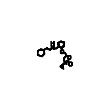 O=C1OC(COc2ccccc2CNCCC2=CCCCC2)CN1C1CC1